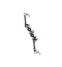 CCCCCCCCC1COC(c2ccc(C(=O)Oc3ccc(C(=O)OC(CCCCCCCOCC)C(F)(F)F)cc3F)cc2)OC1